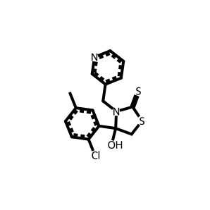 Cc1ccc(Cl)c(C2(O)CSC(=S)N2Cc2cccnc2)c1